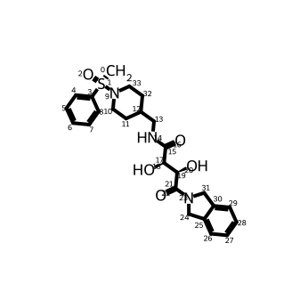 C=S(=O)(c1ccccc1)N1CCC(CNC(=O)[C@H](O)[C@@H](O)C(=O)N2Cc3ccccc3C2)CC1